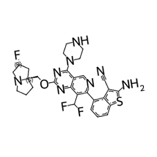 N#Cc1c(N)sc2cccc(-c3ncc4c(N5CCNCC5)nc(OC[C@@]56CCCN5C[C@H](F)C6)nc4c3C(F)F)c12